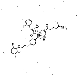 NC(=O)CCCC(=O)N1C[C@H]2CC(c3ccc(CCCOc4c(F)ccc(F)c4F)cc3)=C(C(=O)N(Cc3ccccc3F)C3CC3)[C@@H](C1)N2